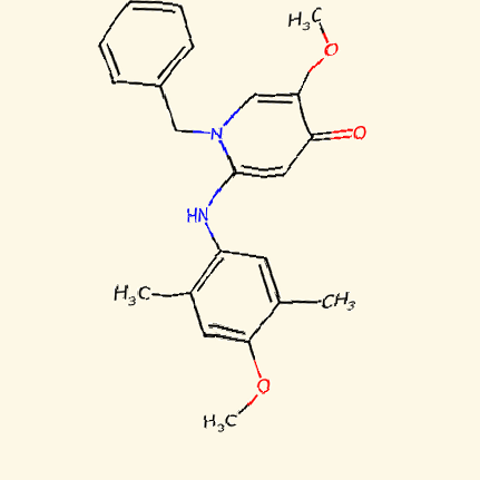 COc1cc(C)c(Nc2cc(=O)c(OC)cn2Cc2ccccc2)cc1C